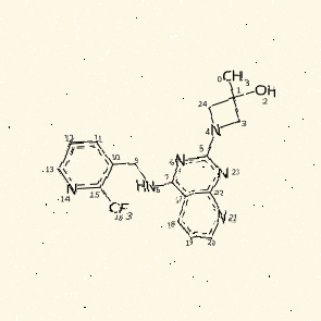 CC1(O)CN(c2nc(NCc3cccnc3C(F)(F)F)c3cccnc3n2)C1